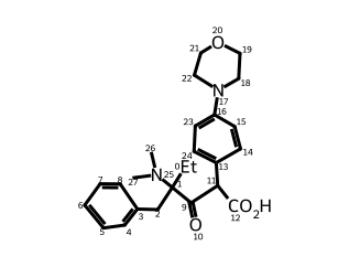 CCC(Cc1ccccc1)(C(=O)C(C(=O)O)c1ccc(N2CCOCC2)cc1)N(C)C